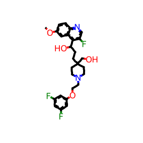 COc1ccc2ncc(F)c(C(O)CCC3(CO)CCN(CCOc4cc(F)cc(F)c4)CC3)c2c1